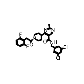 Cc1ncc(C(=O)NCc2cc(Cl)cc(Cl)c2)c(C2CCN(C(=O)Cc3c(F)cccc3F)CC2)n1